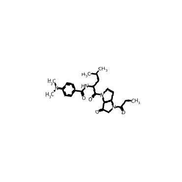 CCC(=O)N1CC(=O)C2C1CCN2C(=O)C(CC(C)C)NC(=O)c1ccc(N(C)C)cc1